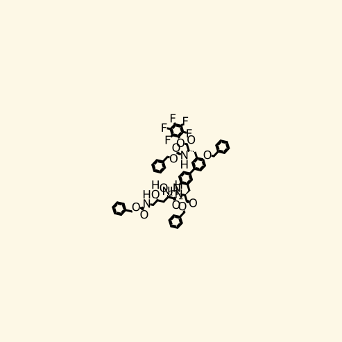 N[C@@H](C[C@@H](O)CNC(=O)OCc1ccccc1)C(=O)N[C@@H](Cc1cc(-c2ccc(OCc3ccccc3)c(C[C@H](NC(=O)OCc3ccccc3)C(=O)Oc3c(F)c(F)c(F)c(F)c3F)c2)ccc1[N+](=O)[O-])C(=O)OCc1ccccc1